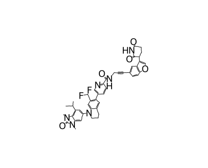 CC(C)c1cc(N2CCCc3cc(-c4ccc(C(=O)NCC#Cc5ccc6occ(C7CCC(=O)NC7=O)c6c5)nc4)c(C(F)F)cc32)cc2c1n(C)c(=O)n2C